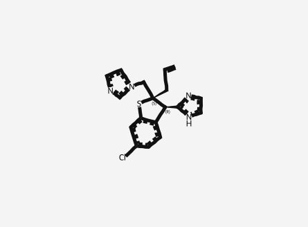 C=CC[C@]1(Cn2ccnc2)Sc2cc(Cl)ccc2[C@@H]1c1ncc[nH]1